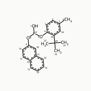 Cc1ccc(OP(O)Oc2ccc3ccccc3c2)c(C(C)(C)C)c1